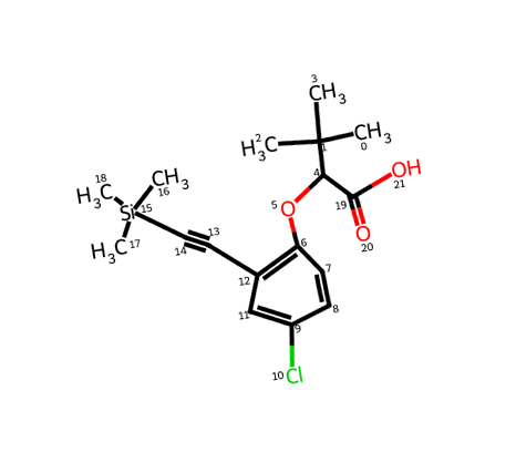 CC(C)(C)C(Oc1ccc(Cl)cc1C#C[Si](C)(C)C)C(=O)O